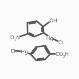 O=C(O)c1cc[c]([Hg][Cl])cc1.O=[N+]([O-])c1ccc(O)[c]([Hg][Cl])c1